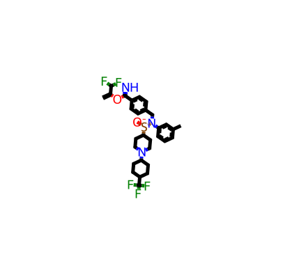 C=C(OC(=N)c1ccc(CN(c2cccc(C)c2)[S+]([O-])C2CCN(C3CCC(C(F)(F)F)CC3)CC2)cc1)C(F)F